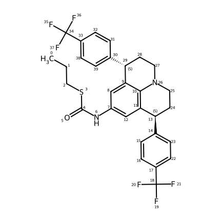 CCCSC(=O)Nc1cc2c3c(c1)[C@H](c1ccc(C(F)(F)F)cc1)CCN3CC[C@H]2c1ccc(C(F)(F)F)cc1